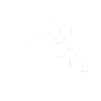 NCCCc1cn([C@@H]2O[C@H](CN3CC3)C(O)C2O)c2ncnc(N)c12